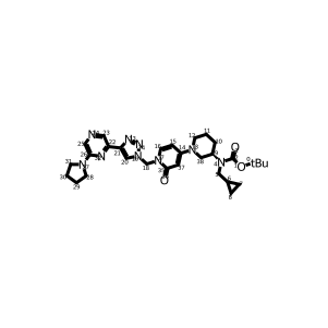 CC(C)(C)OC(=O)N(CC1CC1)[C@@H]1CCCN(c2ccn(Cn3cc(-c4cncc(N5CCCC5)n4)nn3)c(=O)c2)C1